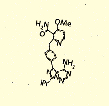 COc1ccnc(Cc2ccc(-c3nc(C(C)C)n4ncnc(N)c34)cc2)c1C(N)=O